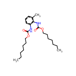 CCCCCCCOC(=O)Nc1cccc(C)c1NC(=O)OCCCCCCC